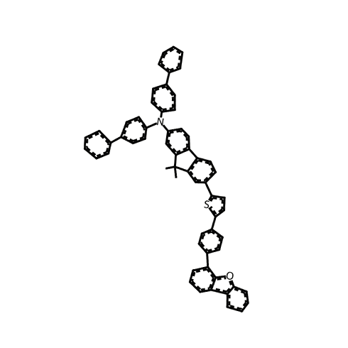 CC1(C)c2cc(-c3ccc(-c4ccc(-c5cccc6c5oc5ccccc56)cc4)s3)ccc2-c2ccc(N(c3ccc(-c4ccccc4)cc3)c3ccc(-c4ccccc4)cc3)cc21